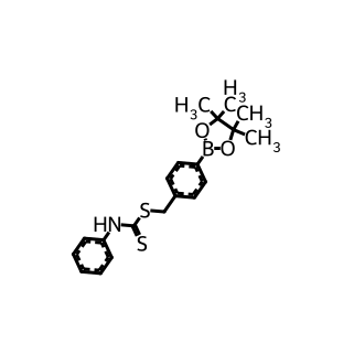 CC1(C)OB(c2ccc(CSC(=S)Nc3ccccc3)cc2)OC1(C)C